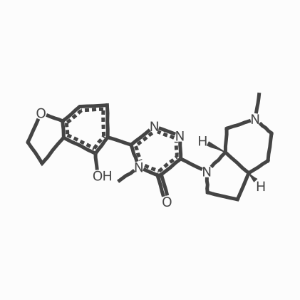 CN1CC[C@@H]2CCN(c3nnc(-c4ccc5c(c4O)CCO5)n(C)c3=O)[C@@H]2C1